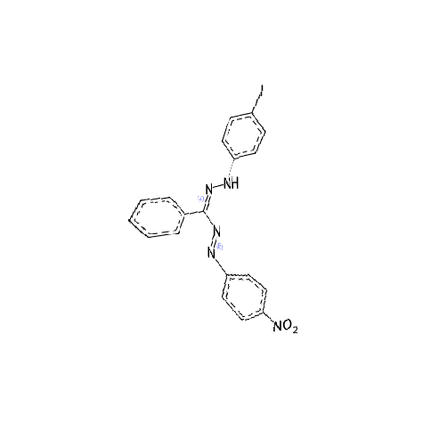 O=[N+]([O-])c1ccc(/N=N/C(=N\Nc2ccc(I)cc2)c2ccccc2)cc1